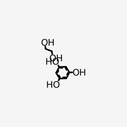 OCCO.Oc1cc(O)cc(O)c1